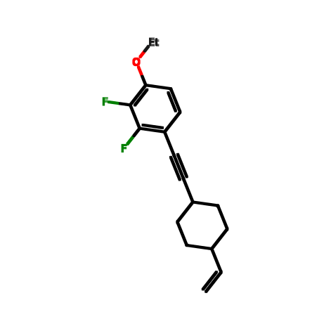 C=CC1CCC(C#Cc2ccc(OCC)c(F)c2F)CC1